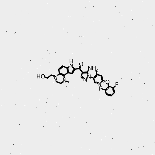 Cc1cc(Oc2c(F)cccc2F)ncc1-n1ncc(C(=O)c2cc3c4c(ccc3[nH]2)N(CCO)CCN4C)c1N